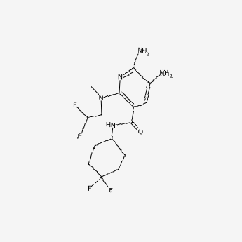 CN(CC(F)F)c1nc(N)c(N)cc1C(=O)NC1CCC(F)(F)CC1